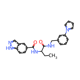 CCC(NC(=O)c1ccc2[nH]ncc2c1)C(=O)NCc1cccc(-n2cccc2)c1